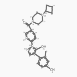 Cc1cc(C#N)ccc1-c1cnn(-c2ccc(C(=O)N3CCN(C4CCC4)CC3)cn2)c1O